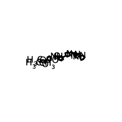 CC(C)(C)OC(=O)c1ccc(NC(=O)Oc2cccc(C3CCN(Cc4cn(Cc5ccccn5)nn4)CC3)c2)cc1